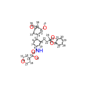 COc1cc(-c2ccc(NOC(=O)C3CCOCC3)cc2CCC2(C)Oc3ccccc3O2)cc(OC)c1C